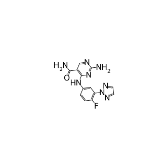 NC(=O)c1cnc(N)nc1Nc1ccc(F)c(-n2nccn2)c1